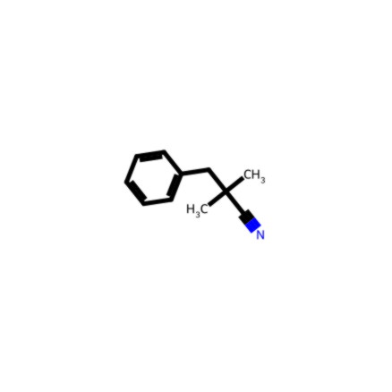 CC(C)(C#N)Cc1ccccc1